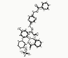 CS(=O)(=O)N[C@H]1CCCC[C@@H]1N1C(=O)c2ccccc2[C@@H](C(=O)NOCc2cnc(COC(=O)c3ccccc3)cn2)[C@@H]1c1ccc(Cl)cc1